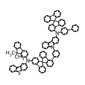 CC1(C)c2ccccc2-c2ccc(N(c3ccc4c(c3)-c3ccccc3C43c4ccccc4-c4c(-c5cccc(-n6c7ccccc7c7cc(N(c8ccc(-c9ccccc9)cc8)c8cccc9c8-c8ccccc8C98c9ccccc9-c9ccccc98)ccc76)c5)cccc43)c3ccc4sc5ccccc5c4c3)cc21